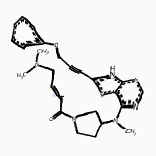 CN(C)C/C=C/C(=O)N1CCC(N(C)c2ncnc3[nH]c(C#CCOc4ccccc4)nc23)C1